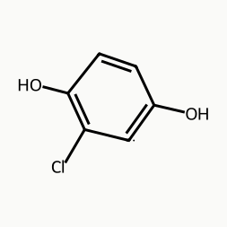 Oc1[c]c(Cl)c(O)cc1